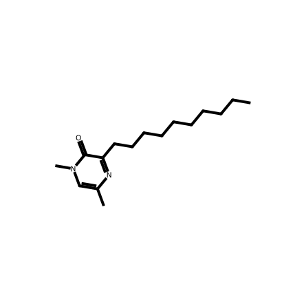 CCCCCCCCCCc1nc(C)cn(C)c1=O